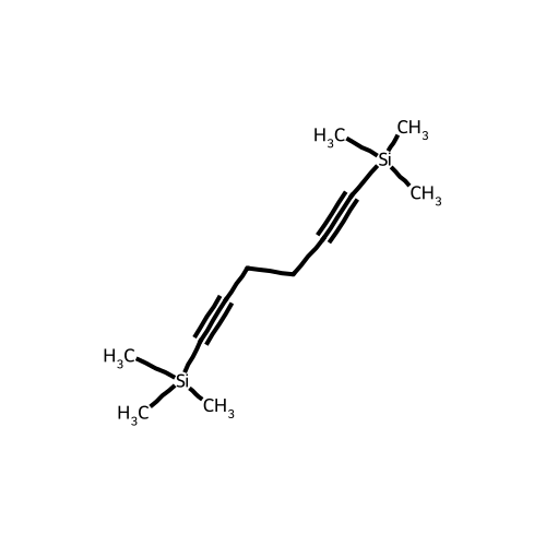 C[Si](C)(C)C#CCCC#C[Si](C)(C)C